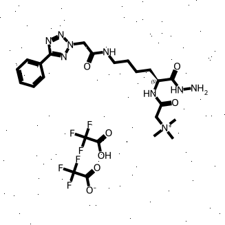 C[N+](C)(C)CC(=O)N[C@@H](CCCCNC(=O)Cn1nnc(-c2ccccc2)n1)C(=O)NN.O=C(O)C(F)(F)F.O=C([O-])C(F)(F)F